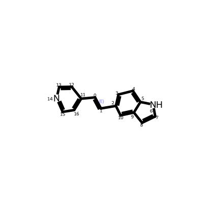 C(=C\c1ccc2[nH]ccc2c1)/c1ccncc1